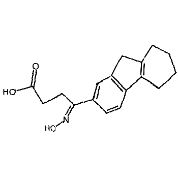 O=C(O)CCC(=NO)c1ccc2c(c1)CC1=C2CCCC1